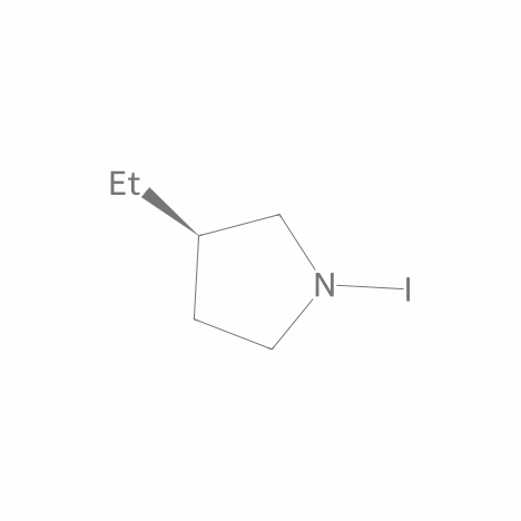 CC[C@@H]1CCN(I)C1